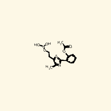 CC(=O)Oc1ccccc1-c1nc(C)c(CCON(O)O)s1